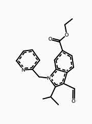 CCOC(=O)c1ccc2c(C=O)c(C(C)C)n(Cc3ccccn3)c2c1